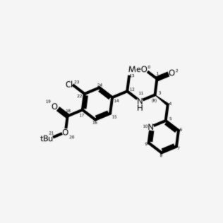 COC(=O)[C@@H](Cc1ccccn1)NC(C)c1ccc(C(=O)OC(C)(C)C)c(Cl)c1